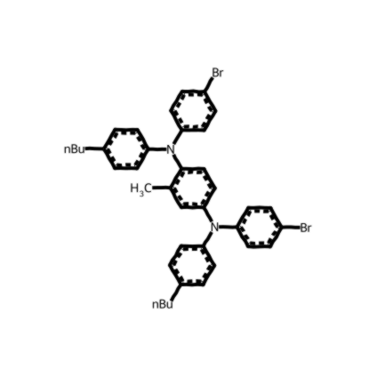 CCCCc1ccc(N(c2ccc(Br)cc2)c2ccc(N(c3ccc(Br)cc3)c3ccc(CCCC)cc3)c(C)c2)cc1